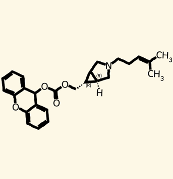 CC(C)=CCCN1CC2[C@@H](COC(=O)OC3c4ccccc4Oc4ccccc43)[C@@H]2C1